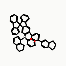 c1ccc(N(c2cc3c(cc2-c2ccc(-c4ccc5c(c4)CCCC5)cc2)-c2ccccc2C32c3ccccc3-c3ccccc32)c2cccc3c2CCCC3)cc1